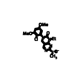 CCN1C(=O)N(c2cc(OC)cc(OC)c2Cl)Cc2cnc([S+](C)[O-])nc21